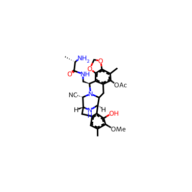 COc1c(C)cc2c(c1O)[C@H]1N[C@H](C2)[C@H](C#N)N2C1Cc1c(OC(C)=O)c(C)c3c(c1[C@@H]2CNC(=O)[C@H](C)N)OCO3